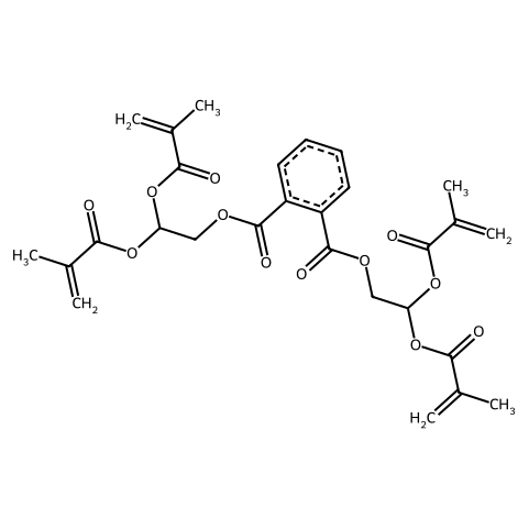 C=C(C)C(=O)OC(COC(=O)c1ccccc1C(=O)OCC(OC(=O)C(=C)C)OC(=O)C(=C)C)OC(=O)C(=C)C